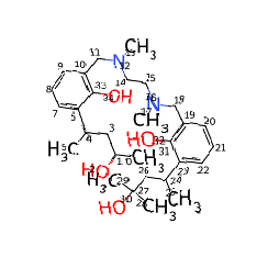 CC(O)CC(C)c1cccc(CN(C)CCN(C)Cc2cccc(C(C)CC(C)(C)O)c2O)c1O